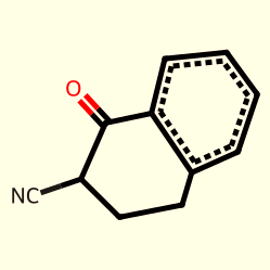 N#CC1CCc2ccccc2C1=O